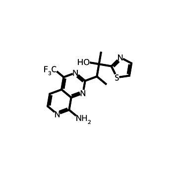 CC(c1nc(C(F)(F)F)c2ccnc(N)c2n1)C(C)(O)c1nccs1